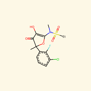 CCS(=O)(=O)N(C)C1=C(O)C(=O)C(C)(c2cccc(Cl)c2F)O1